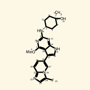 COc1nc(N[C@H]2CC[C@](C)(O)CC2)nc2[nH]cc(-c3ccc4ncc(F)n4c3)c12